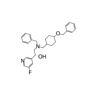 O[C@@H](CN(Cc1ccccc1)CC1CCC(OCc2ccccc2)CC1)c1cncc(F)c1